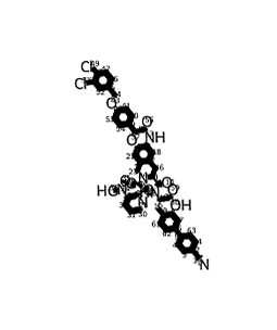 N#Cc1ccc(-c2ccc(C[C@H](NC(=O)[C@@H]3Cc4cc5c(cc4CN3S(=O)(=O)c3ncccc3[N+](=O)O)OC(c3ccc(OCc4ccc(Cl)c(Cl)c4)cc3)C(=O)N5)C(=O)O)cc2)cc1